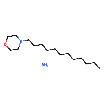 CCCCCCCCCCCCN1CCOCC1.N